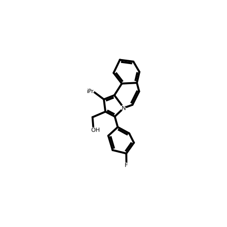 CC(C)c1c(CO)c(-c2ccc(F)cc2)n2ccc3ccccc3c12